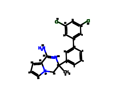 CC1(c2cccc(-c3cc(Cl)cc(Cl)c3)c2)Cn2cccc2C(N)=N1